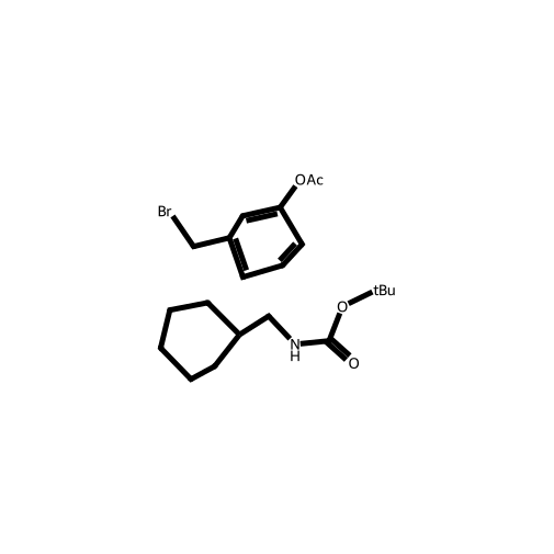 CC(=O)Oc1cccc(CBr)c1.CC(C)(C)OC(=O)NCC1CCCCC1